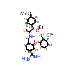 CCO[C@H](C(=O)NCc1ccc(C(=N)N)cc1Oc1ccccc1C)c1ccc(OC)cc1F.Cl